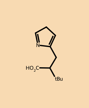 CC(C)(C)C(CC1=CCC=N1)C(=O)O